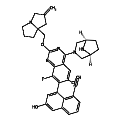 C#Cc1cccc2cc(O)cc(-c3c(Cl)cc4c(N5C[C@H]6CC[C@@H](C5)N6)nc(OCC56CCCN5CC(=C)C6)nc4c3F)c12